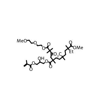 C=C(C)C(=O)OCC(O)COC(=O)C(C)(CCC(C)(C)C(=O)OCCOCCOC)CCC(C)(CCC(C)(CC)C(=O)OC)C(=O)O